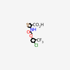 O=C(COc1ccc(Cl)c(C(F)(F)F)c1)Nc1cscc1C(=O)O